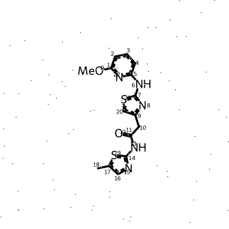 COc1cccc(Nc2nc(CC(=O)Nc3ncc(C)s3)cs2)n1